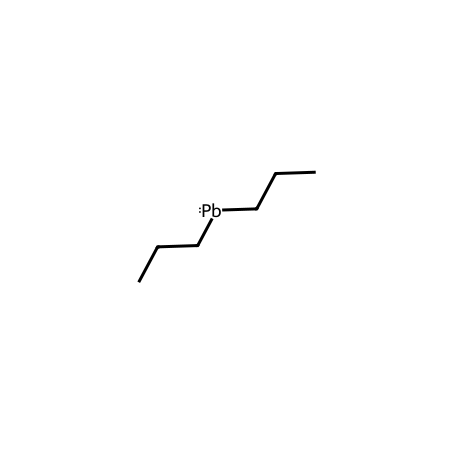 CC[CH2][Pb][CH2]CC